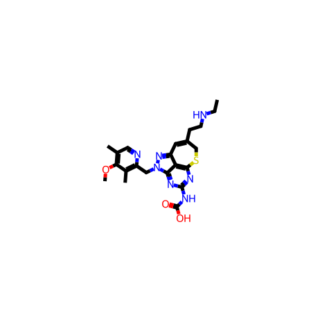 CCNCCC1=Cc2nn(Cc3ncc(C)c(OC)c3C)c3nc(NC(=O)O)nc(c23)SC1